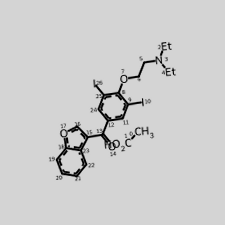 CC(=O)O.CCN(CC)CCOc1c(I)cc(C(=O)c2coc3ccccc23)cc1I